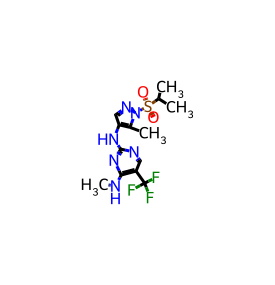 CNc1nc(Nc2cnn(S(=O)(=O)C(C)C)c2C)ncc1C(F)(F)F